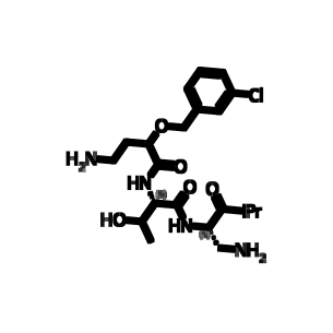 CC(C)C(=O)[C@H](CN)NC(=O)[C@@H](NC(=O)C(CCN)OCc1cccc(Cl)c1)C(C)O